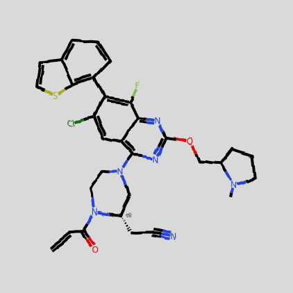 C=CC(=O)N1CCN(c2nc(OCC3CCCN3C)nc3c(F)c(-c4cccc5ccsc45)c(Cl)cc23)C[C@@H]1CC#N